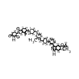 C[C@H]1CN(CC2CCN(c3ccc4c(c3F)CN(C3CCC(=O)NC3=O)C4=O)CC2)CCN1CC1CCN(c2cc(-c3n[nH]c4ccc(OC5(C)CC5)cc34)ncn2)CC1